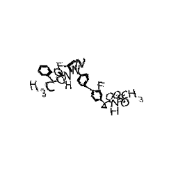 C[C@@H](OC(=O)Nc1c(F)cnn1-c1ccc(-c2ccc(C3(C(=O)NS(C)(=O)=O)CC3)cc2F)cc1)c1ccccc1